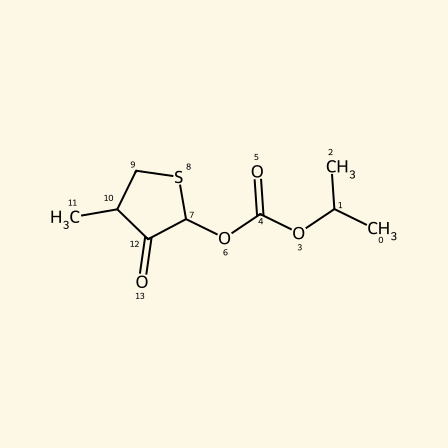 CC(C)OC(=O)OC1SCC(C)C1=O